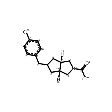 O=C(O)N1C[C@H]2CC(Cc3ccc(Cl)cc3)C[C@H]2C1